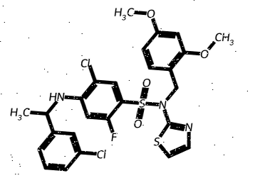 COc1ccc(CN(c2nccs2)S(=O)(=O)c2cc(Cl)c(NC(C)c3cccc(Cl)c3)cc2F)c(OC)c1